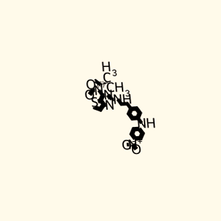 CC(C)[C@H]1COC(=O)N1c1nc(NCCc2ccc(Nc3ccc([N+](=O)[O-])cc3)cc2)nc2ccsc12